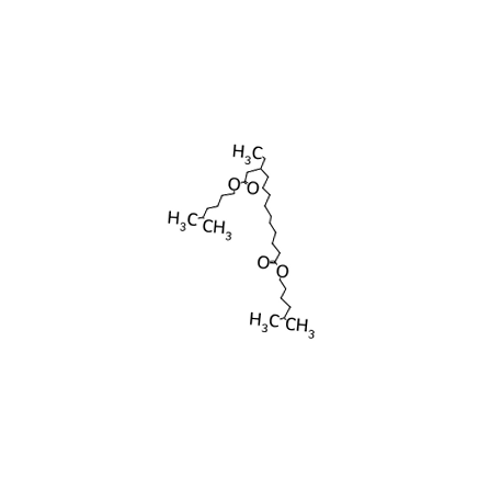 CCC(CCCCCCCCCC(=O)OCCCCC(C)C)CC(=O)OCCCCC(C)C